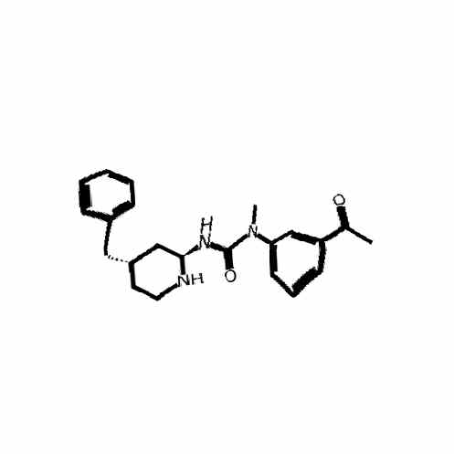 CC(=O)c1cccc(N(C)C(=O)N[C@@H]2C[C@@H](Cc3ccccc3)CCN2)c1